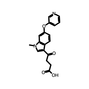 Cn1cc(C(=O)CCC(=O)O)c2ccc(Oc3cccnc3)cc21